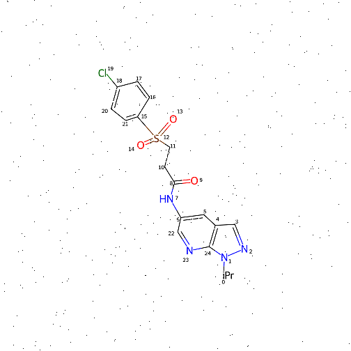 CC(C)n1ncc2cc(NC(=O)CCS(=O)(=O)c3ccc(Cl)cc3)cnc21